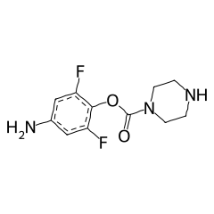 Nc1cc(F)c(OC(=O)N2CCNCC2)c(F)c1